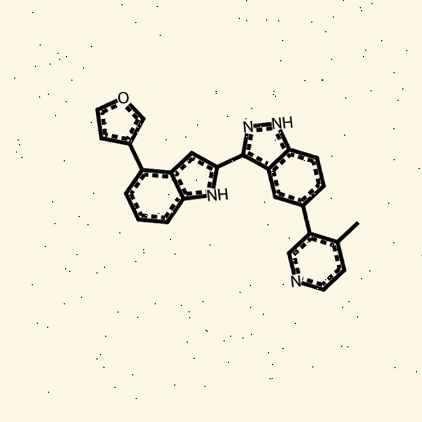 Cc1ccncc1-c1ccc2[nH]nc(-c3cc4c(-c5ccoc5)cccc4[nH]3)c2c1